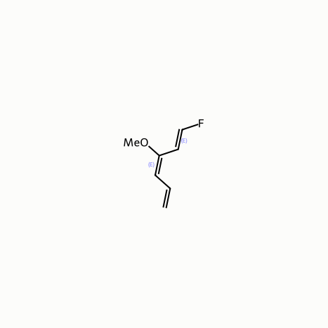 C=C/C=C(\C=C\F)OC